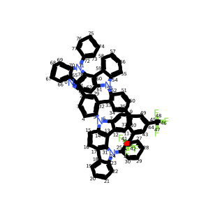 N#Cc1ccc(-n2c3ccccc3c3c2ccc2c4ccccc4n(-c4ccccc4)c23)c(-c2cc(-c3cc(C(F)(F)F)cc(C(F)(F)F)c3)ccc2-n2c3ccccc3c3c2ccc2c4ccccc4n(-c4ccccc4)c23)c1